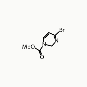 COC(=O)N1C=CC(Br)=NC1